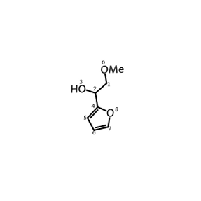 COCC(O)c1ccco1